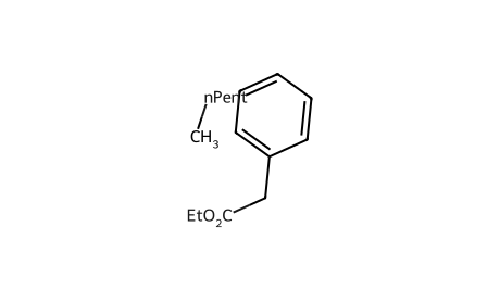 CCCCCC.CCOC(=O)Cc1ccccc1